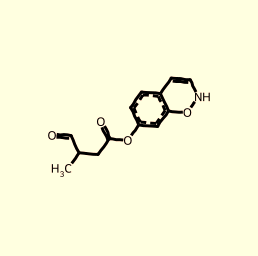 CC(C=O)CC(=O)Oc1ccc2c(c1)ONC=C2